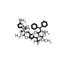 COC(=O)N(C(=O)[C@@H](N)C(c1ccccc1)c1ccccc1)[C@H](c1ccc([C@@H](CO)N(C(C)C)S(=O)(=O)c2ccc(N)s2)s1)C(F)(F)F